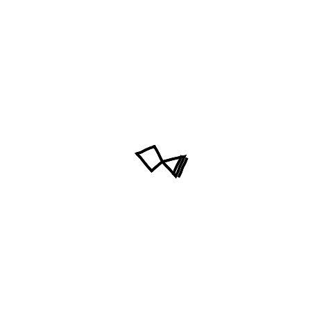 C1#CC12CCC2